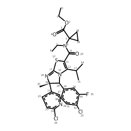 CCOC(=O)C1(N(CC)C(=O)C2=C(C(C)C)N3C(=N[C@@](C)(c4ccc(Cl)nc4)C3c3ccc(Cl)c(F)c3)S2)CC1